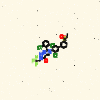 CC[S@@+]([O-])c1cccc(-c2ccc(-n3cc(C(=O)NCC(F)(F)F)nc3-c3c(Cl)cccc3Cl)c(Cl)c2)c1